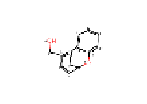 OCC1=C2CC(C=C1)Oc1ccccc12